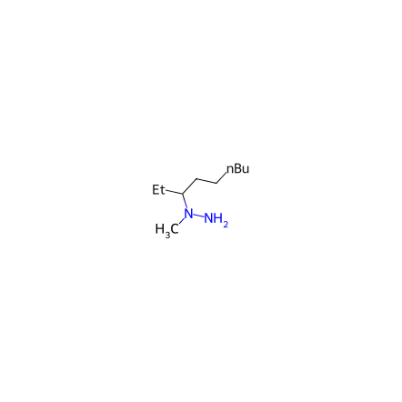 CCCCCCC(CC)N(C)N